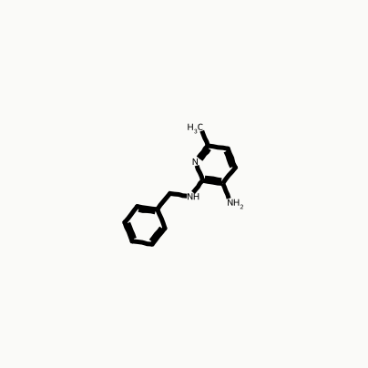 Cc1ccc(N)c(NCc2ccccc2)n1